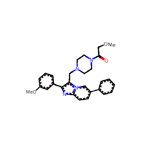 COCC(=O)N1CCN(Cc2c(-c3cccc(OC)c3)nc3ccc(-c4ccccc4)cn23)CC1